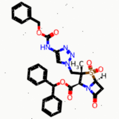 C[C@]1(Cn2cc(NC(=O)OCc3ccccc3)nn2)[C@H](C(=O)OC(c2ccccc2)c2ccccc2)N2C(=O)C[C@@H]2S1(=O)=O